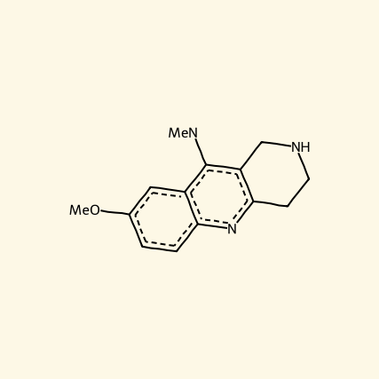 CNc1c2c(nc3ccc(OC)cc13)CCNC2